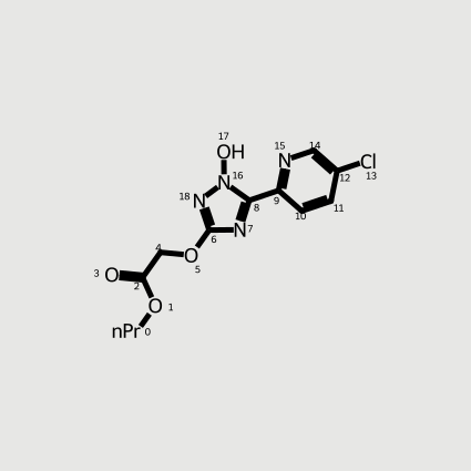 CCCOC(=O)COc1nc(-c2ccc(Cl)cn2)n(O)n1